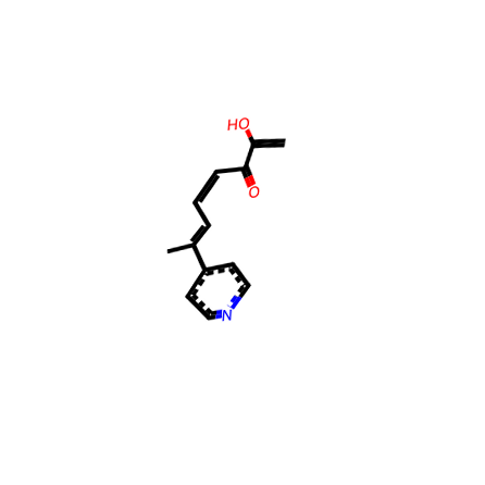 C=C(O)C(=O)/C=C\C=C(/C)c1ccncc1